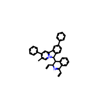 C=CC1=NC(C=C)C(C2c3ccc(-c4ccccc4)cc3-c3cc(-c4ccccc4)c(C)c[n+]32)c2ccccc21